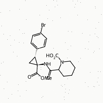 COC(=O)[C@]1(NC(=O)C2CCCCN2C(=O)O)C[C@@H]1c1ccc(Br)cc1